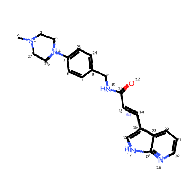 CN1CCN(c2ccc(CNC(=O)/C=C/c3c[nH]c4ncccc34)cc2)CC1